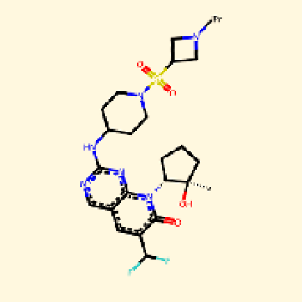 CC(C)N1CC(S(=O)(=O)N2CCC(Nc3ncc4cc(C(F)F)c(=O)n([C@@H]5CCC[C@@]5(C)O)c4n3)CC2)C1